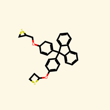 C1=CC(OCC2CS2)CC=C1C1(c2ccc(OC3CCS3)cc2)c2ccccc2-c2ccccc21